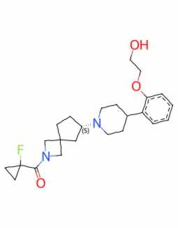 O=C(N1CC2(CC[C@H](N3CCC(c4ccccc4OCCO)CC3)C2)C1)C1(F)CC1